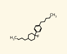 CCCCCc1ccc(C2(F)CCC(CCCC)CC2)cc1